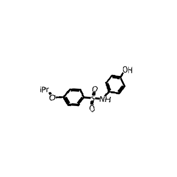 CC(C)Oc1ccc(S(=O)(=O)Nc2ccc(O)cc2)cc1